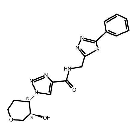 O=C(NCc1nnc(-c2ccccc2)s1)c1cn([C@H]2CCOC[C@@H]2O)nn1